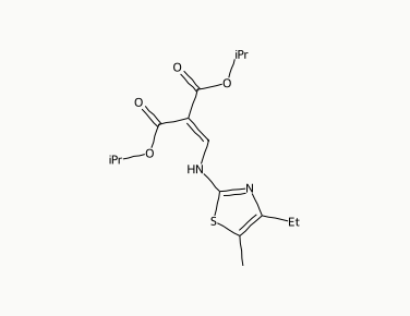 CCc1nc(NC=C(C(=O)OC(C)C)C(=O)OC(C)C)sc1C